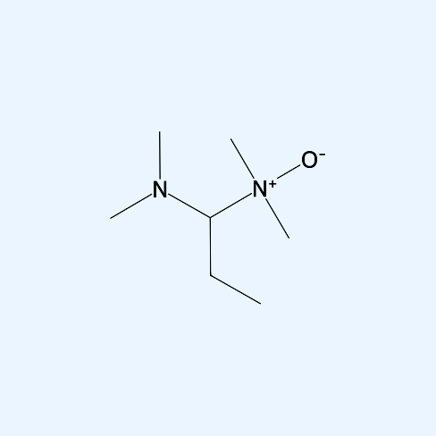 CCC(N(C)C)[N+](C)(C)[O-]